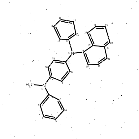 CN(c1ccccc1)c1ccc(N(c2ccccc2)c2cccc3ccccc23)cc1